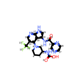 O=C(O)NC1CCCN(c2c(C(F)(F)F)cnc3[nH]cc(NC(=O)c4cnccn4)c23)C1